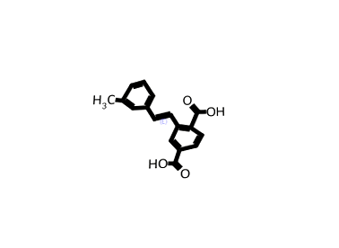 Cc1cccc(/C=C/c2cc(C(=O)O)ccc2C(=O)O)c1